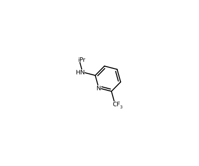 CC(C)Nc1cccc(C(F)(F)F)n1